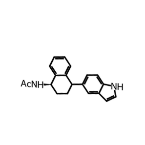 CC(=O)N[C@@H]1CCC(c2ccc3[nH]ccc3c2)c2ccccc21